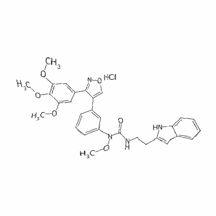 COc1cc(-c2nocc2-c2cccc(N(OC)C(=O)NCCc3cc4ccccc4[nH]3)c2)cc(OC)c1OC.Cl